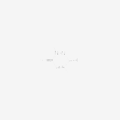 Cc1cc(=O)n(C)nc1I